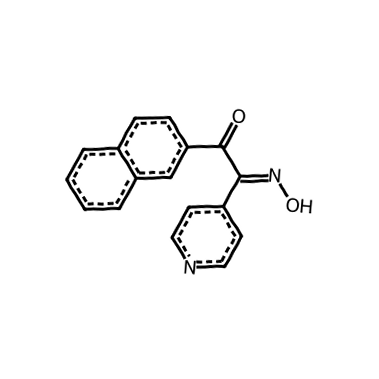 O=C(/C(=N/O)c1ccncc1)c1ccc2ccccc2c1